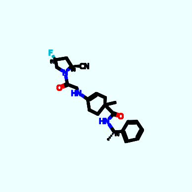 C[C@H](NC(=O)C1(C)CC=C(NCC(=O)N2C[C@@H](F)C[C@H]2C#N)CC1)c1ccccc1